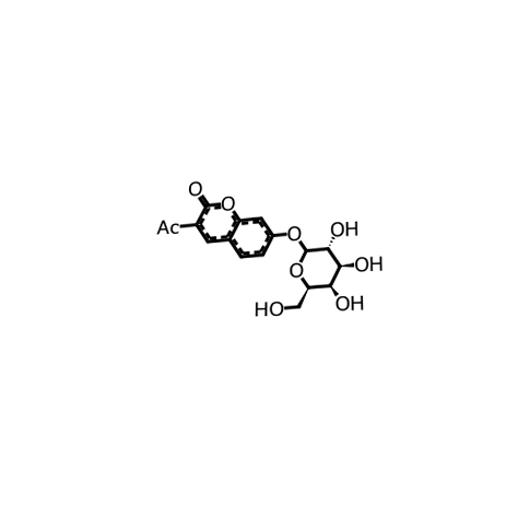 CC(=O)c1cc2ccc(OC3O[C@H](CO)[C@H](O)[C@H](O)[C@H]3O)cc2oc1=O